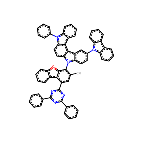 N#Cc1cc(-c2nc(-c3ccccc3)nc(-c3ccccc3)n2)c2c(oc3ccccc32)c1-n1c2ccc(-n3c4ccccc4c4ccccc43)cc2c2c3c4ccccc4n(-c4ccccc4)c3ccc21